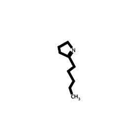 CCCCCC1=NCCC1